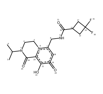 CC(C)N1CCn2c(CNC(=O)C3CC(F)(F)C3)cc(=O)c(O)c2C1=O